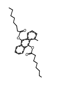 CCCCCCCC(=O)Oc1c2ccccc2c(OC(=O)CCCCCCC)c2c(C)cccc12